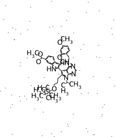 COC(=O)c1ccc2cc(-c3c(CCCO[Si](C)(C)C(C)(C)C)n(C(C)C)c4ncnc(NCc5ccc(OC)cc5OC)c34)[nH]c2c1